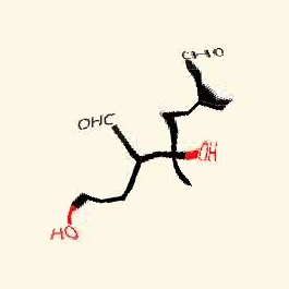 C=C(C=O)CC(C)(O)C(C=O)CCO